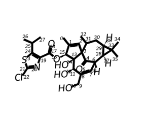 CC1=CC23C(=O)[C@@H](C=C(CO)[C@@H](O)[C@]2(O)[C@H]1OC(=O)c1nc(Cl)sc1C(C)C)[C@H]1[C@@H](CC3C)C1(C)C